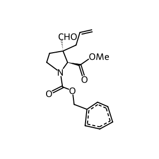 C=CC[C@]1(C=O)CCN(C(=O)OCc2ccccc2)[C@@H]1C(=O)OC